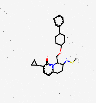 CSNC1CCc2ccc(C3CC3)c(=O)n2C1COC1CCC(c2ccccc2)CC1